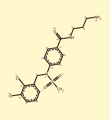 CS(=O)(=O)N(Cc1cccc(Cl)c1Cl)c1ccc(C(=O)NCCCN)cc1